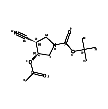 CC(=O)O[C@@H]1CN(C(=O)OC(C)(C)C)C[C@H]1C#N